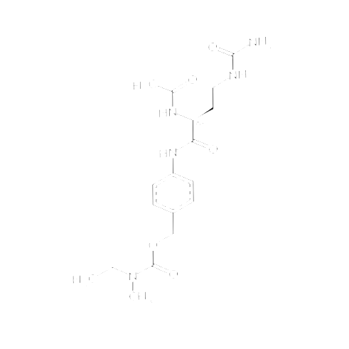 CCN(C)C(=O)OCc1ccc(NC(=O)[C@H](CCNC(N)=O)NC(C)=O)cc1